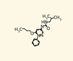 CCCCOc1cc(=NC(=O)NCC(C)C)cnn1-c1ccccc1